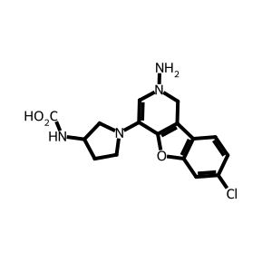 NN1C=C(N2CCC(NC(=O)O)C2)c2oc3cc(Cl)ccc3c2C1